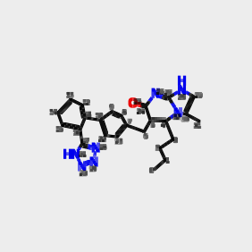 CCCCc1c(Cc2ccc(-c3ccccc3-c3nnn[nH]3)cc2)c(=O)nc2[nH]cc(C)n12